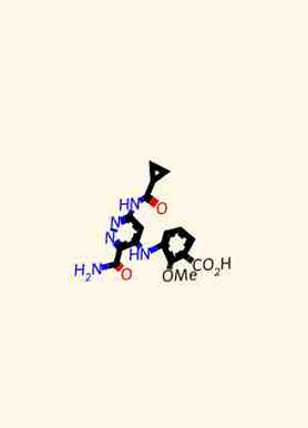 COc1c(Nc2cc(NC(=O)C3CC3)nnc2C(N)=O)cccc1C(=O)O